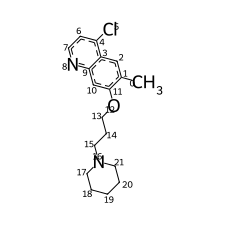 Cc1cc2c(Cl)ccnc2cc1OCCCN1CCCCC1